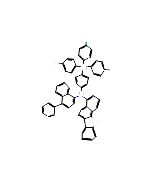 Fc1ccc([Si](c2ccc(F)cc2)(c2ccc(F)cc2)c2ccc(N(c3ccc(-c4ccccc4)c4ccccc34)c3cccc4c3ccc3c5ccccc5oc43)cc2)cc1